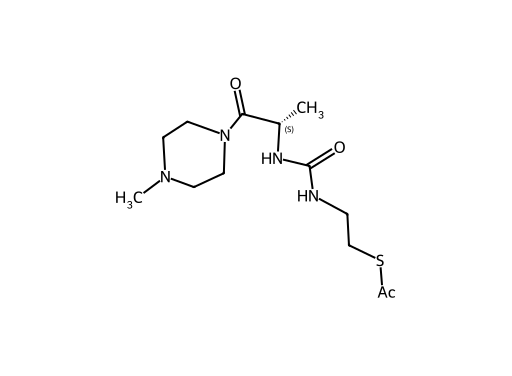 CC(=O)SCCNC(=O)N[C@@H](C)C(=O)N1CCN(C)CC1